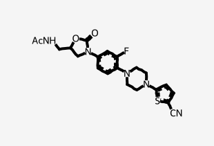 CC(=O)NCC1CN(c2ccc(N3CCN(c4ccc(C#N)s4)CC3)c(F)c2)C(=O)O1